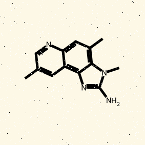 Cc1cnc2cc(C)c3c(nc(N)n3C)c2c1